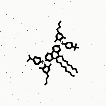 CCCCCCCCc1c(CCCCCCCC)c2cc(N(c3ccc(C(C)(C)C)cc3)c3c(C)cc(CCCC)cc3C)ccc2c2ccc(N(c3ccc(C(C)C)cc3)c3c(C)cc(CCCC)cc3C)cc12